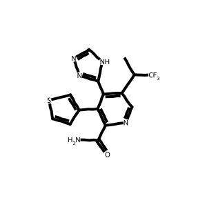 CC(c1cnc(C(N)=O)c(-c2ccsc2)c1-c1nnc[nH]1)C(F)(F)F